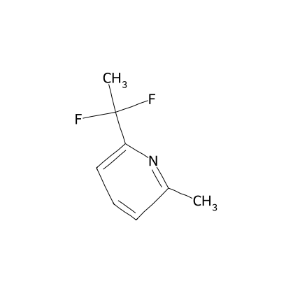 Cc1cccc(C(C)(F)F)n1